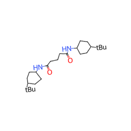 CC(C)(C)C1CCC(NC(=O)CCCC(=O)NC2CCC(C(C)(C)C)CC2)CC1